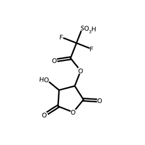 O=C1OC(=O)C(OC(=O)C(F)(F)S(=O)(=O)O)C1O